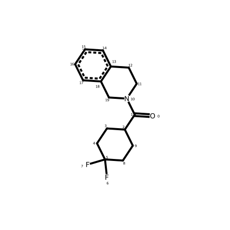 O=C(C1CCC(F)(F)CC1)N1CCc2c[c]ccc2C1